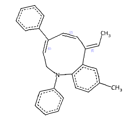 C\C=C1/C=C\C(c2ccccc2)=C/CN(c2ccccc2)c2ccc(C)cc21